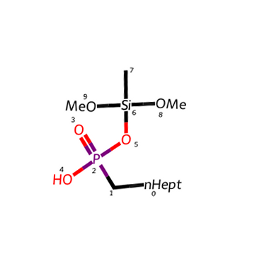 CCCCCCCCP(=O)(O)O[Si](C)(OC)OC